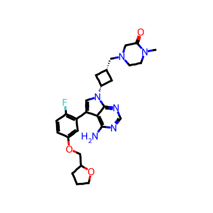 CN1CCN(C[C@H]2C[C@@H](n3cc(-c4cc(OCC5CCCO5)ccc4F)c4c(N)ncnc43)C2)CC1=O